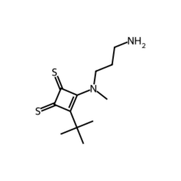 CN(CCCN)c1c(C(C)(C)C)c(=S)c1=S